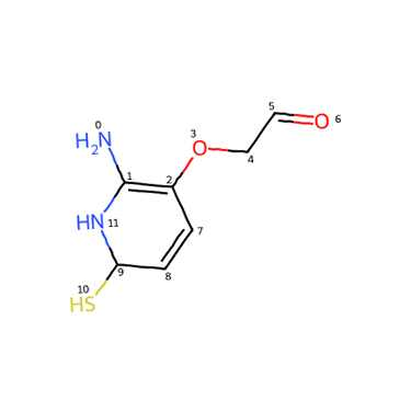 NC1=C(OCC=O)C=CC(S)N1